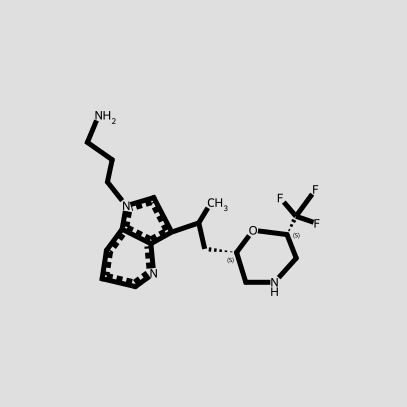 CC(C[C@H]1CNC[C@@H](C(F)(F)F)O1)c1cn(CCCN)c2cccnc12